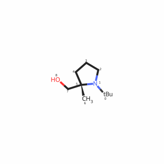 CC(C)(C)N1CCC[C@@]1(C)CO